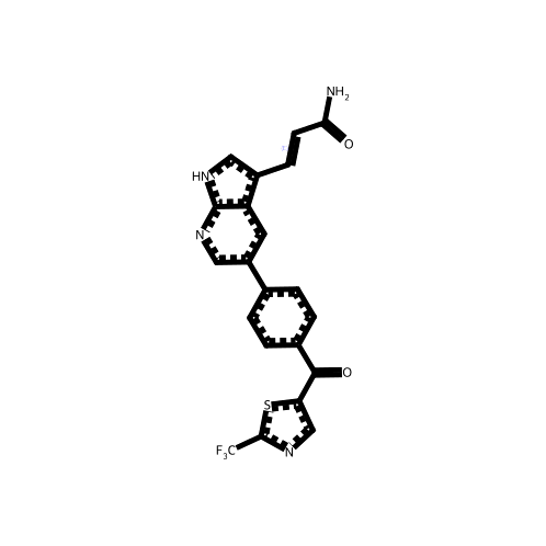 NC(=O)/C=C/c1c[nH]c2ncc(-c3ccc(C(=O)c4cnc(C(F)(F)F)s4)cc3)cc12